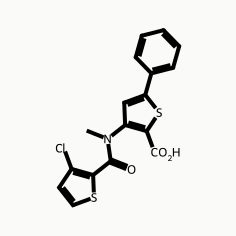 CN(C(=O)c1sccc1Cl)c1cc(-c2ccccc2)sc1C(=O)O